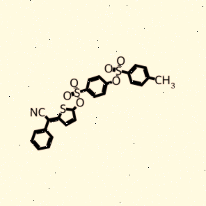 Cc1ccc(S(=O)(=O)Oc2ccc(S(=O)(=O)OC3C=CC(=C(C#N)c4ccccc4)S3)cc2)cc1